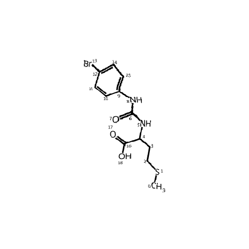 CSCCC(NC(=O)Nc1ccc(Br)cc1)C(=O)O